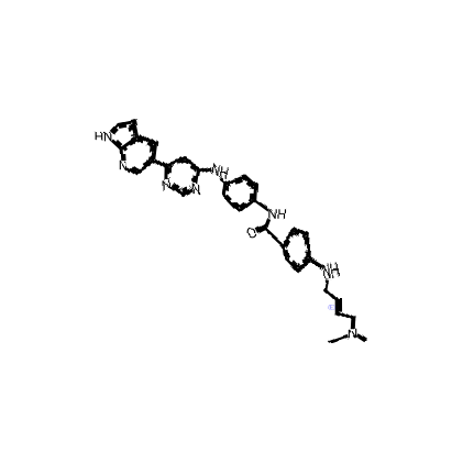 CN(C)C/C=C/CNc1ccc(C(=O)Nc2ccc(Nc3cc(-c4cnc5[nH]ccc5c4)ncn3)cc2)cc1